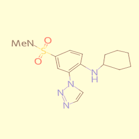 CNS(=O)(=O)c1ccc(NC2CCCCC2)c(-n2ccnn2)c1